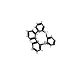 c1ccc2c(c1)Sc1ccccc1-c1ccccc1-c1ccccc1S2